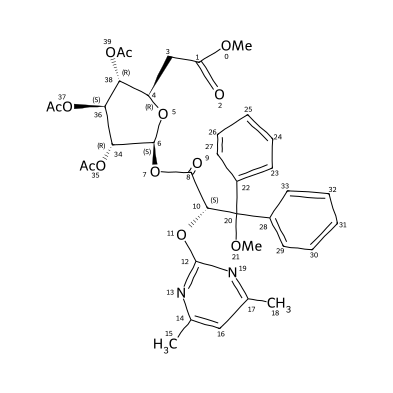 COC(=O)C[C@H]1O[C@@H](OC(=O)[C@@H](Oc2nc(C)cc(C)n2)C(OC)(c2ccccc2)c2ccccc2)[C@H](OC(C)=O)[C@@H](OC(C)=O)[C@@H]1OC(C)=O